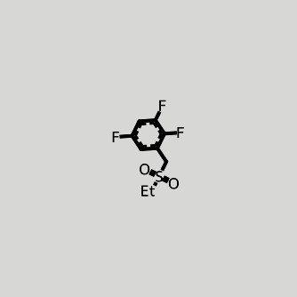 CCS(=O)(=O)Cc1cc(F)cc(F)c1F